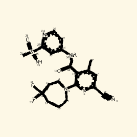 Cc1cc(C#N)nc(N2CCCC(F)(F)CC2)c1C(=O)Nc1ccnc(S(C)(=N)=O)c1